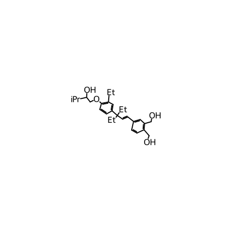 CCc1cc(C(C=Cc2ccc(CO)c(CO)c2)(CC)CC)ccc1OCC(O)C(C)C